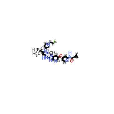 Cn1c(Nc2cc(C(C)(C)C)n([C@H]3CCN(CCF)C3)n2)nc2ncc(Oc3ccnc(NC(=O)C4CC4)c3)cc21